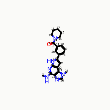 CNc1nc2[nH]c(-c3cccc(C(=O)N4CCCCC4)c3)cc2c2c1ncn2C